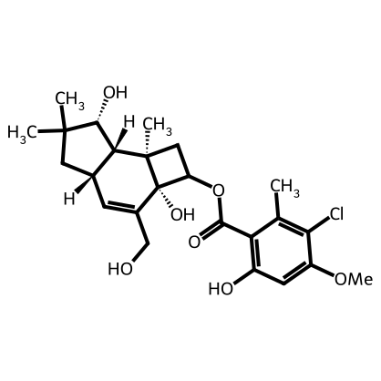 COc1cc(O)c(C(=O)OC2C[C@]3(C)[C@@H]4[C@H](C=C(CO)[C@]23O)CC(C)(C)[C@@H]4O)c(C)c1Cl